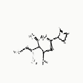 C=CC(C(C)CC(C)C1CCC1)P(C)CC